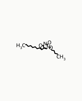 CCCCCCCc1cc2cn(OCCCCC)c(=O)nc2o1